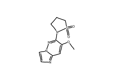 COc1cc2nccn2nc1N1CCCS1(=O)=O